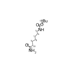 CC(C)(C)OC(=O)NCCCCCCC(N)=O